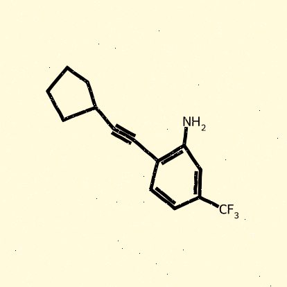 Nc1cc(C(F)(F)F)ccc1C#CC1CCCC1